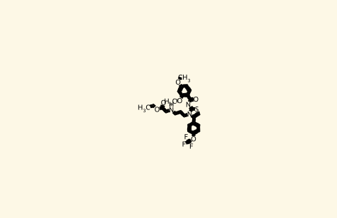 CCOC(=O)CNCCCn1c(-c2ccc(OC(F)(F)F)cc2)cs/c1=N\C(=O)c1ccc(OC)cc1OC